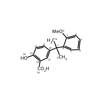 COc1ccccc1C(C)(C)c1ccc(O)c(C(=O)O)c1